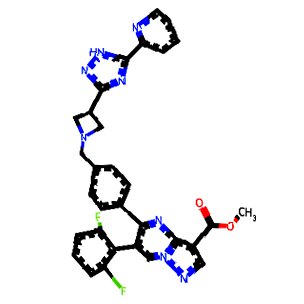 COC(=O)c1cnn2cc(-c3c(F)cccc3F)c(-c3ccc(CN4CC(c5n[nH]c(-c6ccccn6)n5)C4)cc3)nc12